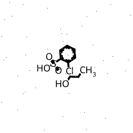 CCCO.O=S(=O)(O)c1ccccc1Cl